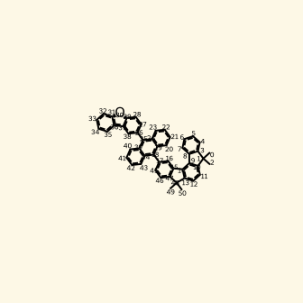 CC1(C)c2ccccc2-c2c1ccc1c2-c2cc(-c3c4ccccc4c(-c4ccc5oc6ccccc6c5c4)c4ccccc34)ccc2C1(C)C